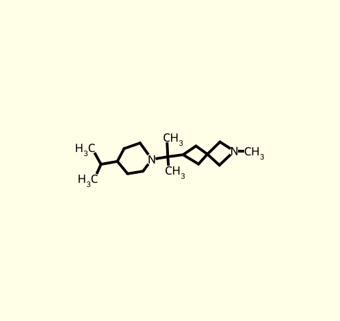 CC(C)C1CCN(C(C)(C)C2CC3(C2)CN(C)C3)CC1